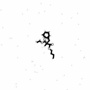 CCCCOC(=O)C(C)(Cc1ccccc1)C(=O)OCC